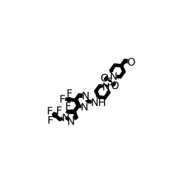 O=CC1CCN(S(=O)(=O)N2CCC(Nc3ncc(C(F)(F)F)c(-c4cnn(CC(F)(F)F)c4)n3)CC2)CC1